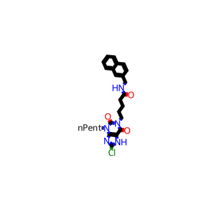 CCCCCn1c(=O)n(CCCCC(=O)NCc2ccc3ccccc3c2)c(=O)c2[nH]c(Cl)nc21